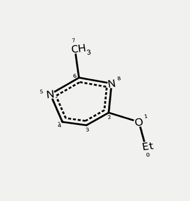 CCOc1c[c]nc(C)n1